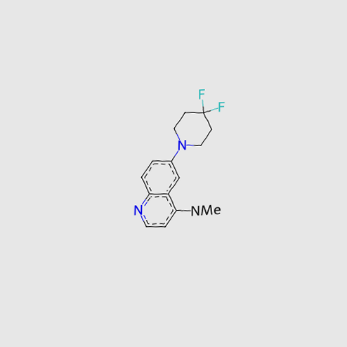 CNc1ccnc2ccc(N3CCC(F)(F)CC3)cc12